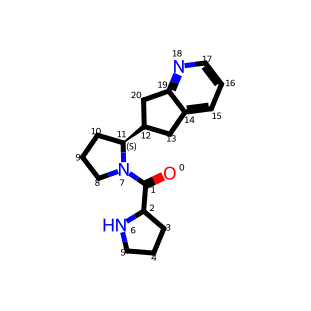 O=C(C1CCCN1)N1CCC[C@H]1C1Cc2cccnc2C1